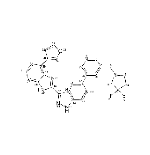 FC1(F)CCN(Cc2cncc(-c3cc4c(-c5nc6c(-c7ccoc7)cccc6[nH]5)n[nH]c4cn3)c2)C1